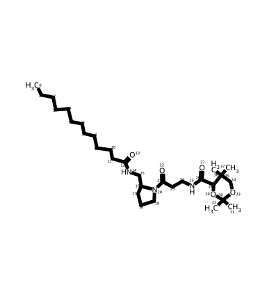 CCCCCCCCCCCCC(=O)NCC1CCCN1C(=O)CCNC(=O)C1OC(C)(C)OCC1(C)C